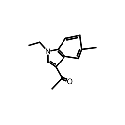 CCn1cc(C(C)=O)c2cc(C)ccc21